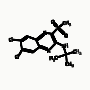 CC(C)(C)Nc1nc2cc(Cl)c(Cl)cc2nc1S(C)(=O)=O